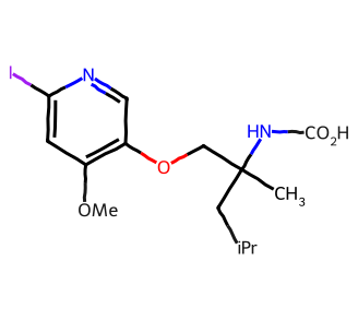 COc1cc(I)ncc1OCC(C)(CC(C)C)NC(=O)O